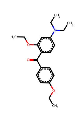 CCOc1ccc(C(=O)c2ccc(N(CC)CC)cc2OCC)cc1